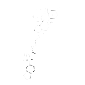 CC[C@H]1[C@@H](O)[C@@H]2[C@H](CC[C@]3(C)[C@@H](CCCNC(=O)NS(=O)(=O)c4ccc5c(c4)CCC5)CC[C@@H]23)[C@@]2(C)CC[C@@H](O)C[C@@H]12